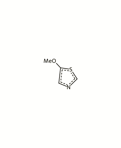 [CH2]Oc1cncs1